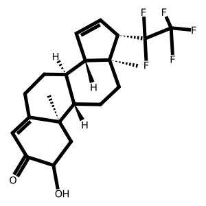 C[C@]12CC[C@H]3[C@@H](CCC4=CC(=O)C(O)C[C@@]43C)[C@@H]1C=C[C@@H]2C(F)(F)C(F)(F)F